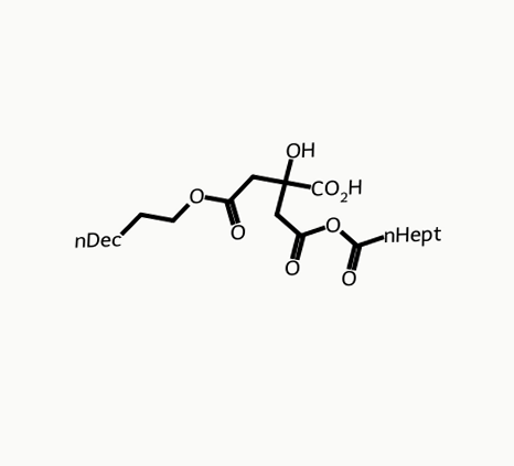 CCCCCCCCCCCCOC(=O)CC(O)(CC(=O)OC(=O)CCCCCCC)C(=O)O